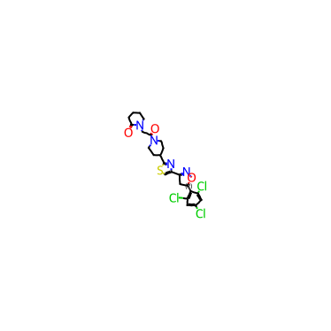 O=C(CN1CCCCC1=O)N1CCC(c2nc(C3=NO[C@@H](c4c(Cl)cc(Cl)cc4Cl)C3)cs2)CC1